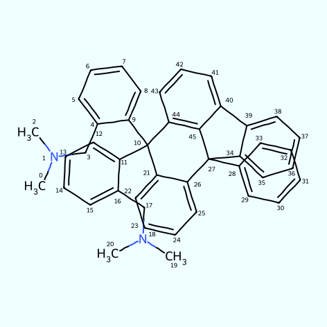 CN(C)Cc1ccccc1C1(c2ccccc2CN(C)C)c2ccccc2C2(c3ccccc3)c3ccccc3-c3cccc1c32